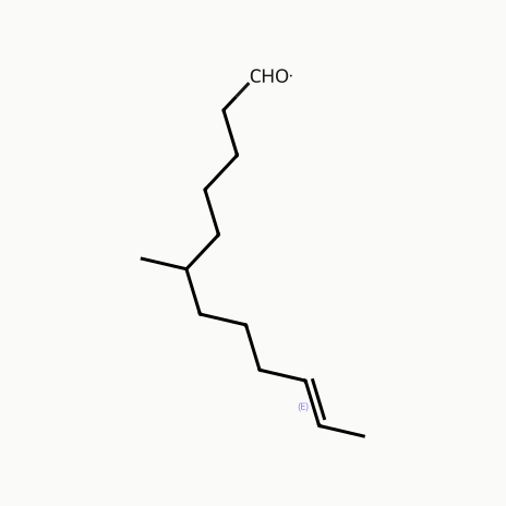 C/C=C/CCCC(C)CCCC[C]=O